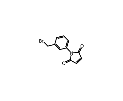 O=C1C=CC(=O)N1c1cccc(CBr)c1